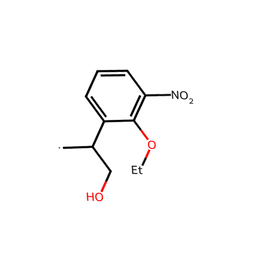 [CH2]C(CO)c1cccc([N+](=O)[O-])c1OCC